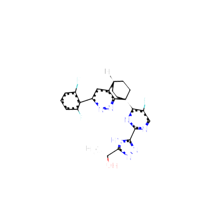 C[C@@H](O)c1nnc(-c2ncc(F)c([C@]34CC[C@H](CC3)c3cc(-c5c(F)cccc5F)nnc34)n2)[nH]1